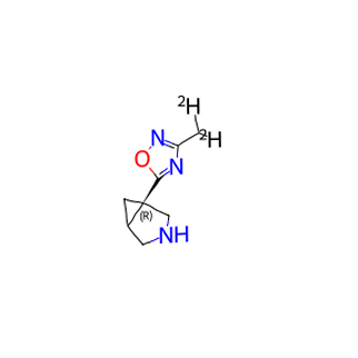 [2H]C([2H])c1noc([C@@]23CNCC2C3)n1